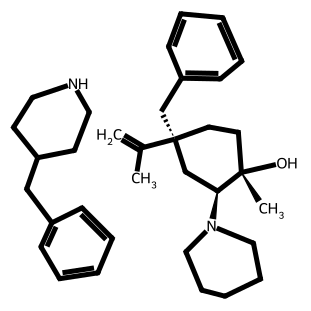 C=C(C)[C@@]1(Cc2ccccc2)CC[C@](C)(O)[C@@H](N2CCCCC2)C1.c1ccc(CC2CCNCC2)cc1